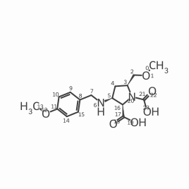 COC[C@@H]1C[C@H](NCc2ccc(OC)cc2)[C@H](C(=O)O)N1C(=O)O